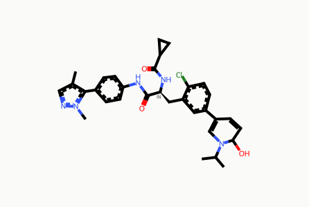 Cc1cnn(C)c1-c1ccc(NC(=O)[C@H](Cc2cc(C3=CN(C(C)C)C(O)C=C3)ccc2Cl)NC(=O)C2CC2)cc1